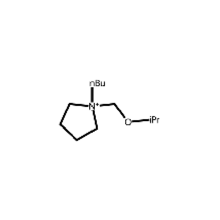 CCCC[N+]1(COC(C)C)CCCC1